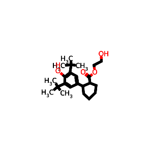 CC(C)(C)c1cc(C2CCCCC2C(=O)OCCO)cc(C(C)(C)C)c1O